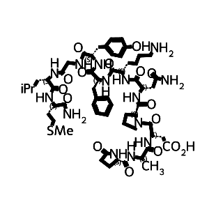 CSCC[C@H](NC(=O)[C@H](CC(C)C)NC(=O)CNC(=O)[C@H](Cc1ccc(O)cc1)NC(=O)[C@H](Cc1ccccc1)NC(=O)[C@H](CCCCN)NC(=O)[C@H](CC(N)=O)NC(=O)[C@@H]1CCCN1C(=O)[C@H](CC(=O)O)NC(=O)[C@H](C)NC(=O)[C@@H]1CCC(=O)N1)C(N)=O